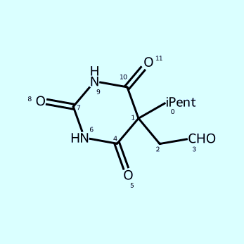 CCCC(C)C1(CC=O)C(=O)NC(=O)NC1=O